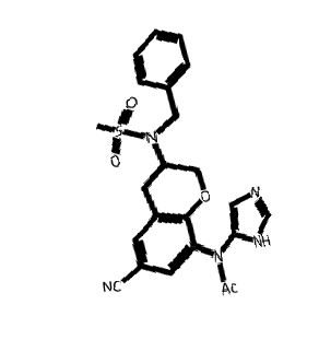 CC(=O)N(c1cnc[nH]1)c1cc(C#N)cc2c1OCC(N(Cc1ccccc1)S(C)(=O)=O)C2